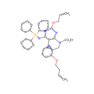 C=CCCOc1cccnc1CN(C(=O)OCC)c1nc(OCC=C)nc(N=P(c2ccccc2)(c2ccccc2)c2ccccc2)c1[N+](=O)[O-]